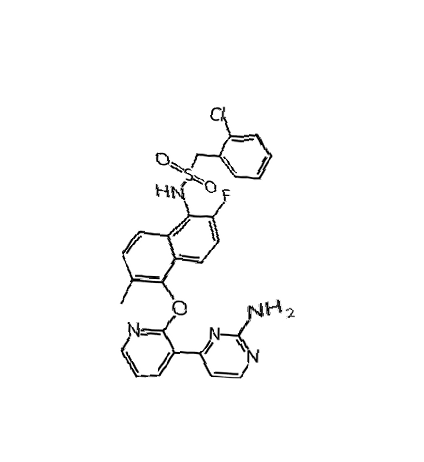 Cc1ccc2c(NS(=O)(=O)Cc3ccccc3Cl)c(F)ccc2c1Oc1ncccc1-c1ccnc(N)n1